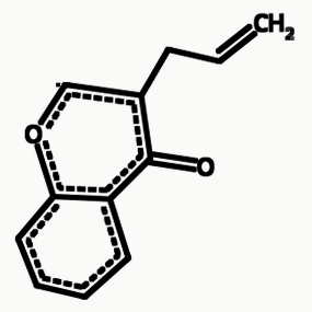 C=CCc1[c]oc2ccccc2c1=O